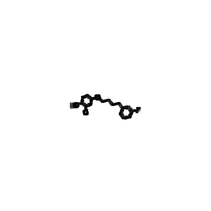 Oc1ccc(OCCCCc2cccc(F)c2)cc1Cl